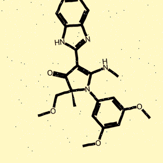 CNC1=C(c2nc3ccccc3[nH]2)C(=O)[C@@](C)(COC)N1c1cc(OC)cc(OC)c1